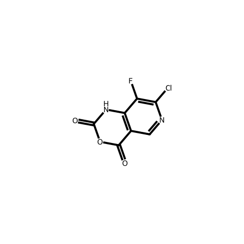 O=c1[nH]c2c(F)c(Cl)ncc2c(=O)o1